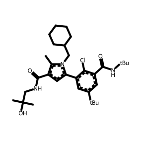 Cc1c(C(=O)NCC(C)(C)O)cc(-c2cc(C(C)(C)C)cc(C(=O)NC(C)(C)C)c2Cl)n1CC1CCCCC1